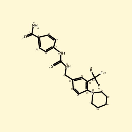 NC(=O)c1ccc(NC(=S)NCc2ccc(N3CCCCC3)c(C(F)(F)F)c2)cc1